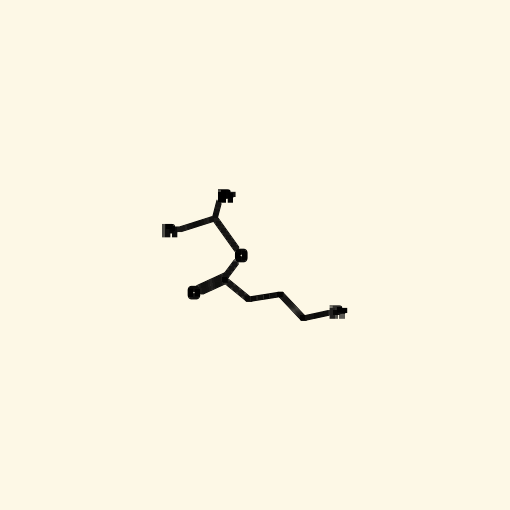 CC(C)CCCC(=O)OC(C(C)C)C(C)C